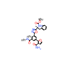 CCCN(CCC)C(=O)c1cc(-c2nnc([C@@](C)(Cc3ccccc3)NC(=O)OC(C)(C)C)o2)cc(-c2occc2C(N)=O)c1